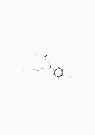 CCCCOC(COC(C)=O)c1ccc(O)c(O)c1